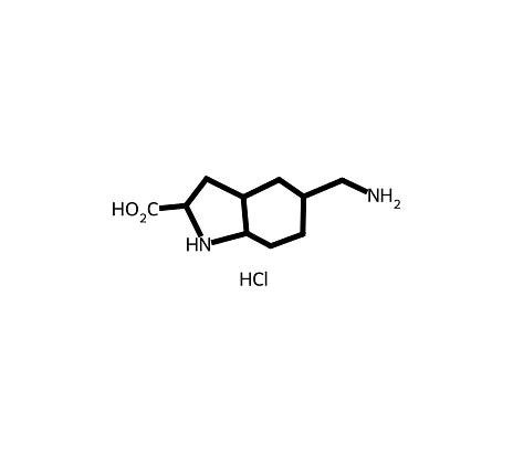 Cl.NCC1CCC2NC(C(=O)O)CC2C1